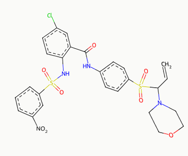 C=CC(N1CCOCC1)S(=O)(=O)c1ccc(NC(=O)c2cc(Cl)ccc2NS(=O)(=O)c2cccc([N+](=O)[O-])c2)cc1